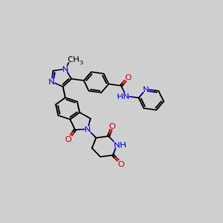 Cn1cnc(-c2ccc3c(c2)CN(C2CCC(=O)NC2=O)C3=O)c1-c1ccc(C(=O)Nc2ccccn2)cc1